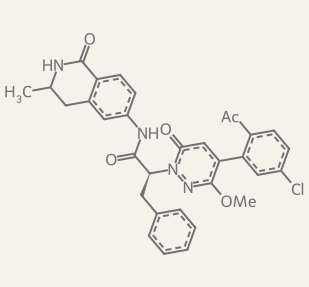 COc1nn([C@@H](Cc2ccccc2)C(=O)Nc2ccc3c(c2)CC(C)NC3=O)c(=O)cc1-c1cc(Cl)ccc1C(C)=O